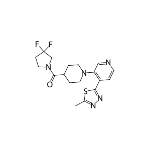 Cc1nnc(-c2ccncc2N2CCC(C(=O)N3CCC(F)(F)C3)CC2)s1